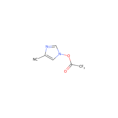 N#Cc1cn(OC(=O)C(F)(F)F)cn1